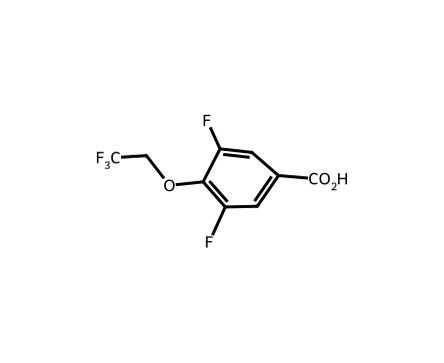 O=C(O)c1cc(F)c(OCC(F)(F)F)c(F)c1